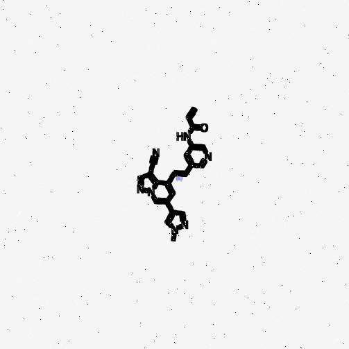 C=CC(=O)Nc1cncc(/C=C/c2cc(-c3cnn(C)c3)cn3ncc(C#N)c23)c1